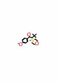 COc1ccc(C(=O)C(C(C)(C)C)S2(C)CCOCC2)cc1